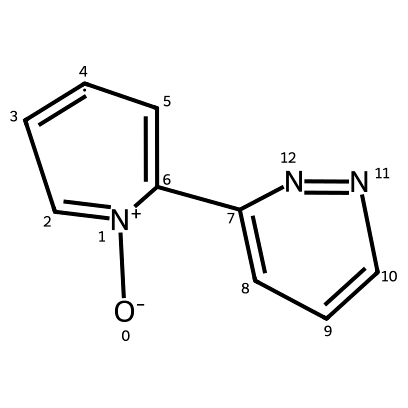 [O-][n+]1cc[c]cc1-c1cccnn1